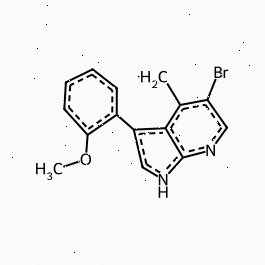 [CH2]c1c(Br)cnc2[nH]cc(-c3ccccc3OC)c12